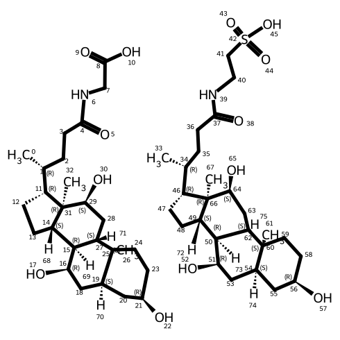 C[C@H](CCC(=O)NCC(=O)O)[C@H]1CC[C@H]2[C@@H]3[C@H](O)C[C@@H]4C[C@H](O)CC[C@]4(C)[C@H]3C[C@H](O)[C@]12C.C[C@H](CCC(=O)NCCS(=O)(=O)O)[C@H]1CC[C@H]2[C@@H]3[C@H](O)C[C@@H]4C[C@H](O)CC[C@]4(C)[C@H]3C[C@H](O)[C@]12C